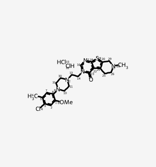 COc1cc(Cl)c(C)cc1N1CCN(CCn2cnc3sc4c(c3c2=O)CCN(C)C4)CC1.Cl.Cl